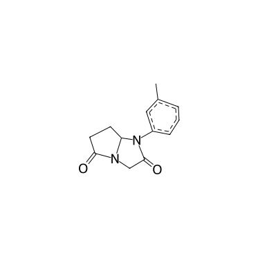 Cc1cccc(N2C(=O)CN3C(=O)CCC32)c1